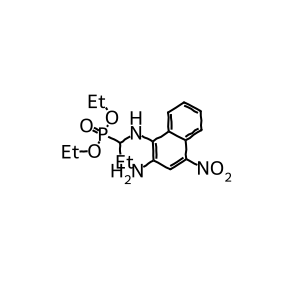 CCOP(=O)(OCC)C(CC)Nc1c(N)cc([N+](=O)[O-])c2ccccc12